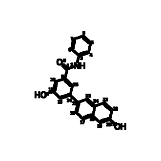 O=C(Nc1ccccc1)c1cc(O)cc(-c2ccc3cc(O)ccc3c2)c1